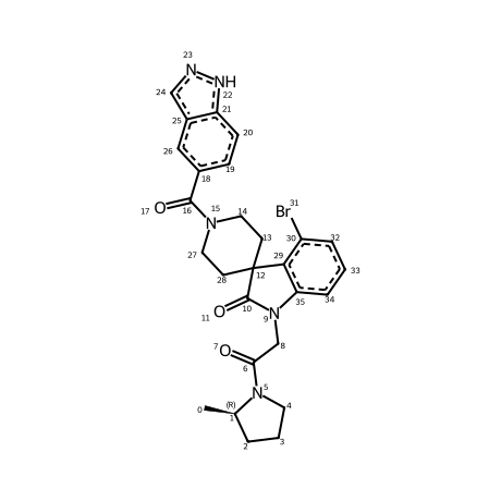 C[C@@H]1CCCN1C(=O)CN1C(=O)C2(CCN(C(=O)c3ccc4[nH]ncc4c3)CC2)c2c(Br)cccc21